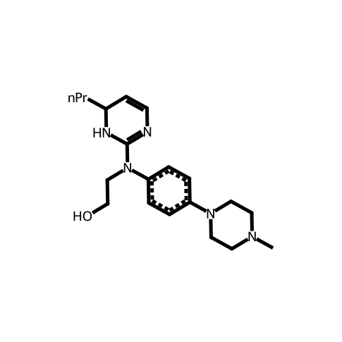 CCCC1C=CN=C(N(CCO)c2ccc(N3CCN(C)CC3)cc2)N1